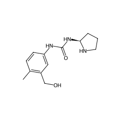 Cc1ccc(NC(=O)N[C@H]2CCCN2)cc1CO